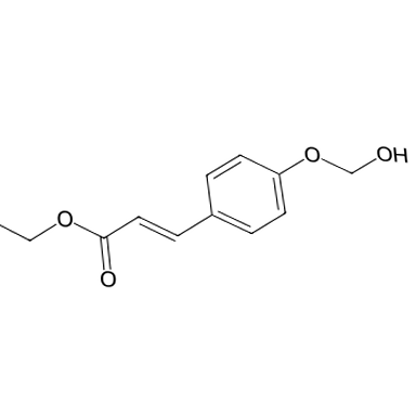 CCOC(=O)/C=C/c1ccc(OCO)cc1